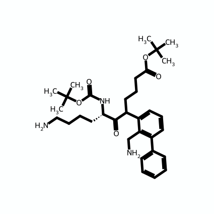 CC(C)(C)OC(=O)CCCC(C(=O)[C@H](CCCCN)NC(=O)OC(C)(C)C)c1cccc(-c2ccccc2)c1CN